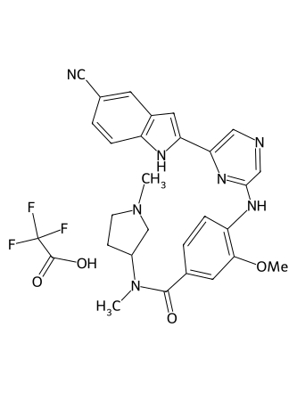 COc1cc(C(=O)N(C)C2CCN(C)C2)ccc1Nc1cncc(-c2cc3cc(C#N)ccc3[nH]2)n1.O=C(O)C(F)(F)F